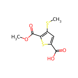 COC(=O)c1sc(C(=O)O)cc1SC